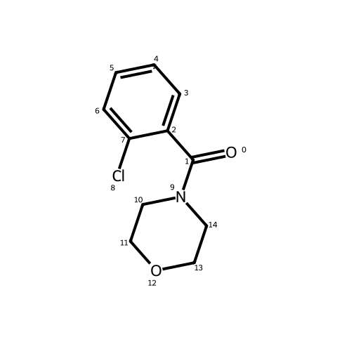 O=C(c1c[c]ccc1Cl)N1CCOCC1